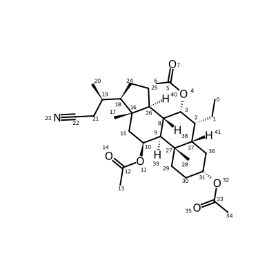 CC[C@H]1[C@@H](OC(C)=O)[C@@H]2[C@H]([C@@H](OC(C)=O)C[C@]3(C)[C@@H]([C@H](C)CC#N)CC[C@@H]23)[C@@]2(C)CC[C@@H](OC(C)=O)C[C@@H]12